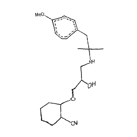 COc1ccc(CC(C)(C)NCC(O)COC2CCCCC2C#N)cc1